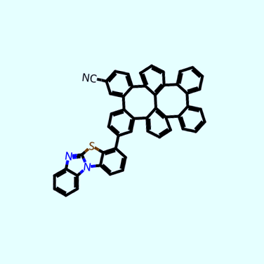 N#Cc1ccc2c3cccc4c3-c3c(cccc3c3cc(-c5cccc6c5sc5nc7ccccc7n56)ccc3c2c1)c1ccccc1c1ccccc41